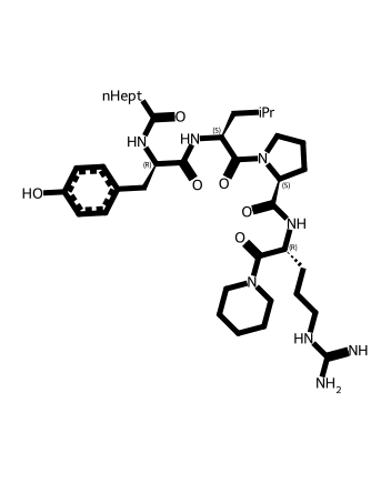 CCCCCCCC(=O)N[C@H](Cc1ccc(O)cc1)C(=O)N[C@@H](CC(C)C)C(=O)N1CCC[C@H]1C(=O)N[C@H](CCCNC(=N)N)C(=O)N1CCCCC1